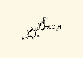 CCn1nc(-c2ccc(Br)cc2)cc1C(=O)O